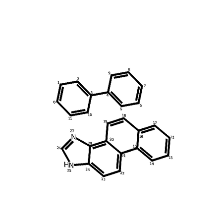 c1ccc(-c2ccccc2)cc1.c1ccc2c(c1)ccc1c2ccc2[nH]cnc21